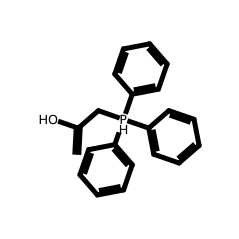 C=C(O)C[PH](c1ccccc1)(c1ccccc1)c1ccccc1